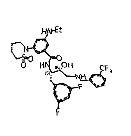 CCNc1cc(C(=O)N[C@@H](Cc2cc(F)cc(F)c2)[C@H](O)CNCc2cccc(C(F)(F)F)c2)cc(N2CCCCS2(=O)=O)c1